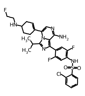 CC(C)c1nc(-c2cc(F)c(NS(=O)(=O)c3ccccc3Cl)cc2F)c2c(N)ncc(C3=CCC(NCCF)CC3)n12